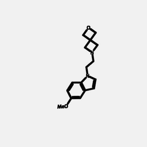 COc1ccc2c(ccn2CCN2CC3(COC3)C2)c1